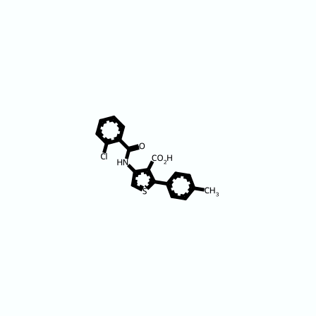 Cc1ccc(-c2scc(NC(=O)c3ccccc3Cl)c2C(=O)O)cc1